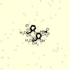 CNC(=O)[O-].C[N+](C)(C)Cc1ccccc1O.C[N+](C)(C)Cc1ccccc1O.[Cl-]